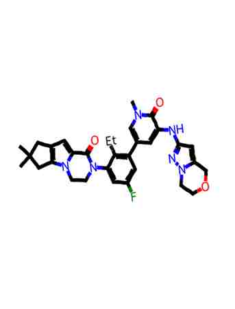 CCc1c(-c2cc(Nc3cc4n(n3)CCOC4)c(=O)n(C)c2)cc(F)cc1N1CCn2c(cc3c2CC(C)(C)C3)C1=O